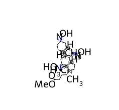 COC(=O)CCC(C)[C@H]1CC[C@H]2C3/C(=N/O)C[C@H]4C/C(=N\O)CC[C@]4(C)[C@H]3C/C(=N\O)[C@]12C